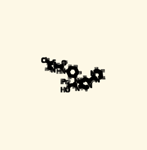 CC(C)[C@H](O)c1nc2cnc(-c3ncccn3)cc2n1[C@@H]1CCC[C@H](NC(=O)c2ncc(Cl)s2)C1